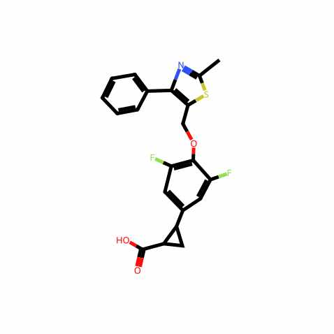 Cc1nc(-c2ccccc2)c(COc2c(F)cc(C3CC3C(=O)O)cc2F)s1